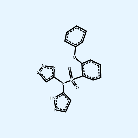 O=S(=O)(c1ccccc1Oc1ccccc1)N(c1csnn1)c1ccn[nH]1